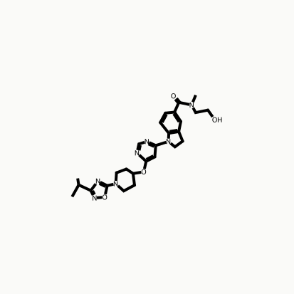 CC(C)c1noc(N2CCC(Oc3cc(N4CCc5cc(C(=O)N(C)CCO)ccc54)ncn3)CC2)n1